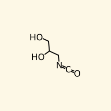 O=C=NCC(O)CO